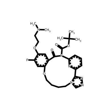 CN(C)CCOc1cc2c(cc1F)OCCCCn1cnnc1-c1cccc(n1)N(C(=O)OC(C)(C)C)C2=O